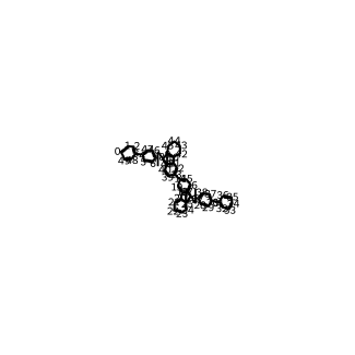 c1ccc(-c2ccc(-n3c4c(c5cc(-c6ccc7c(c6)c6ccccc6n7-c6ccc(-c7ccccc7)cc6)ccc53)CCCC4)cc2)cc1